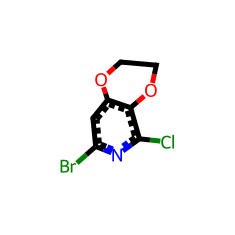 Clc1nc(Br)cc2c1OCCO2